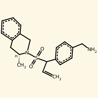 C=CC(c1ccc(CN)cc1)S(=O)(=O)N1Cc2ccccc2C[C@H]1C